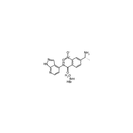 Br.Br.C[C@@H](N)c1ccc(C(=O)Nc2ccnc3[nH]ncc23)c([N+](=O)[O-])c1.O